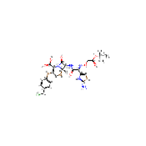 CC(C)(C)OC(=O)CON=C(C(=O)N[C@@H]1C(=O)N2C(C(=O)O)=C(Sc3ccc(CCl)cc3)CS[C@@H]12)c1csc(N)n1